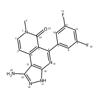 Cn1ccc2c(c(-c3cc(F)cc(F)c3)nc3[nH]nc(N)c32)c1=O